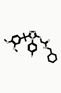 COc1ccc(C(C)(C)c2nnc(SCC(=O)NCC3CCCCC3)n2-c2ccc(F)cc2)cc1OC